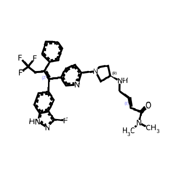 CN(C)C(=O)/C=C/CN[C@@H]1CCN(c2ccc(/C(=C(/CC(F)(F)F)c3ccccc3)c3ccc4[nH]nc(F)c4c3)cn2)C1